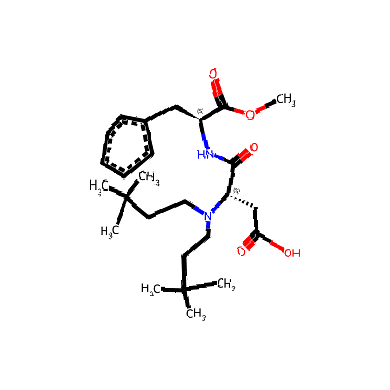 COC(=O)[C@H](Cc1ccccc1)NC(=O)[C@H](CC(=O)O)N(CCC(C)(C)C)CCC(C)(C)C